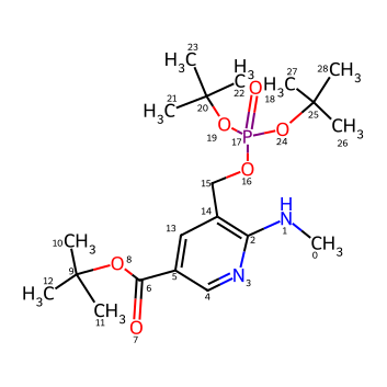 CNc1ncc(C(=O)OC(C)(C)C)cc1COP(=O)(OC(C)(C)C)OC(C)(C)C